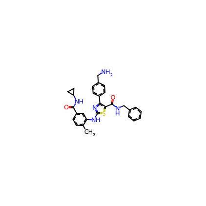 Cc1ccc(C(=O)NC2CC2)cc1Nc1nc(-c2ccc(CN)cc2)c(C(=O)NCc2ccccc2)s1